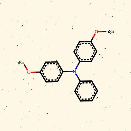 CCCCOc1ccc(N(c2ccccc2)c2ccc(OCCCC)cc2)cc1